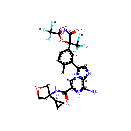 Cc1ccc(C(OC(=O)C(F)(F)F)(C(N)=O)C(F)(F)F)cc1-c1cnc2c(N)nc(C(=O)NC3(C4CC4)CCOC3)cn12